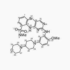 CNS(=O)(=O)c1ccccc1Nc1nc(Nc2cc(N3CCC(N4CCOCC4)CC3)ccc2OC)ncc1Br